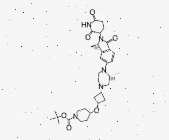 C[C@@H]1CN([C@H]2C[C@H](OC3CCN(C(=O)OC(C)(C)C)CC3)C2)CCN1c1ccc2c(c1)[C@@H](C)N(C1CCC(=O)NC1=O)C2=O